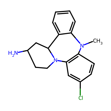 CN1c2ccccc2C2CC(N)CCN2c2cc(Cl)ccc21